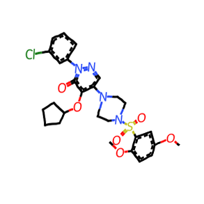 COc1ccc(OC)c(S(=O)(=O)N2CCN(c3cnn(-c4cccc(Cl)c4)c(=O)c3OC3CCCC3)CC2)c1